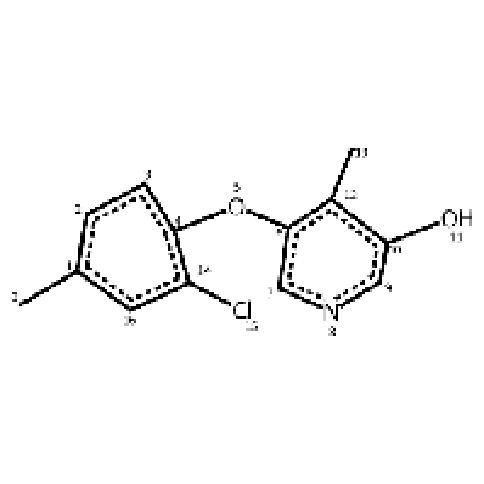 Cc1ccc(Oc2cncc(O)c2C)c(Cl)c1